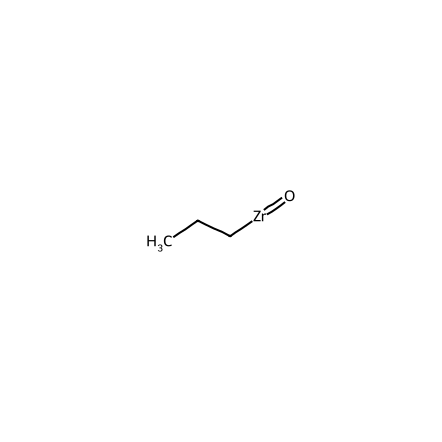 CC[CH2][Zr]=[O]